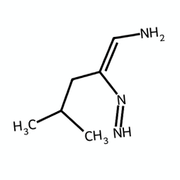 CC(C)C/C(=C/N)N=N